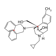 Cc1ccc2c(c1)[C@]13CCN(CC4CC4)[C@H](C2)[C@]1(O)CC[C@](CO)(N(Cc1ccccc1)Cc1ccccc1)C3